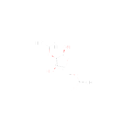 CC(=O)OC[C@H]1O[C@H](O)[C@H](OC(C)C)[C@@H]1O